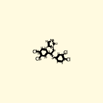 Clc1ccc(SC(Cn2ccnc2)c2ccc(Cl)c(Cl)c2)cc1Cl